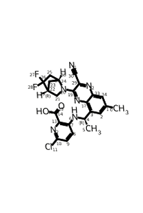 Cc1cc([C@@H](C)Nc2ccc(Cl)nc2C(=O)O)c2nc(N3C[C@H]4C[C@@H]3CC4(F)F)c(C#N)nc2c1